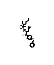 CCCCC(CC)C(=O)O/N=C(\CC1CC1)C(=O)c1ccc(Sc2ccccc2)cc1